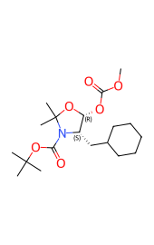 COC(=O)O[C@H]1OC(C)(C)N(C(=O)OC(C)(C)C)[C@H]1CC1CCCCC1